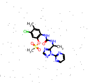 Cc1cc(NC(=O)NC(C)c2ncnn2-c2ncccn2)c(OS(C)(=O)=O)cc1Cl